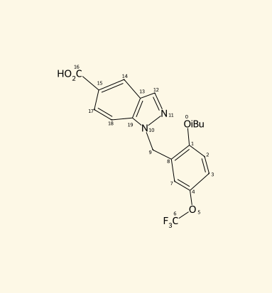 CC(C)COc1ccc(OC(F)(F)F)cc1Cn1ncc2cc(C(=O)O)ccc21